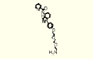 NCCOCCOCCOc1ccc(-n2ncc3c2CCC[C@H]3NC(=O)c2ccccn2)cc1